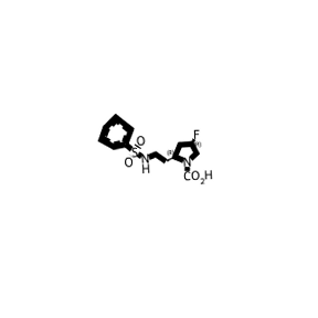 O=C(O)N1C[C@H](F)C[C@H]1CCNS(=O)(=O)c1ccccc1